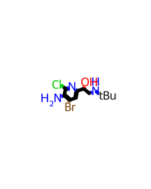 CC(C)(C)NCC(O)c1cc(Br)c(N)c(Cl)n1